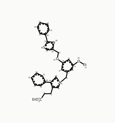 CCOC(=O)CCc1cn(Cc2cc(OCC)cc(OCc3csc(-c4ccccc4)n3)c2)cc1-c1ccccc1